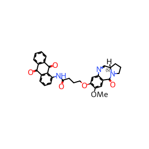 COc1cc2c(cc1OCCCC(=O)Nc1cccc3c1C(=O)c1ccccc1C3=O)N=C[C@@H]1CCCN1C2=O